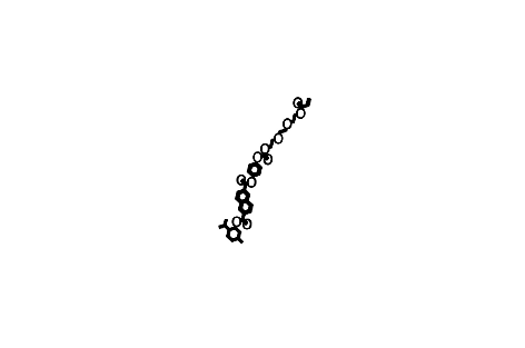 C=CC(=O)OCCOCCOCCOC(=O)Oc1ccc(OC(=O)c2ccc3cc(C(=O)OC4CC(C)CCC4C(C)C)ccc3c2)cc1